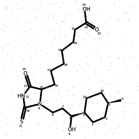 C[C@H]1CC[C@@H](C(O)CCN2C(=S)NC(=O)C2CCCCCCC(=O)O)CC1